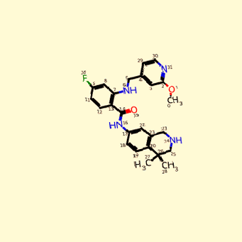 COc1cc(CNc2cc(F)ccc2C(=O)Nc2ccc3c(c2)CNCC3(C)C)ccn1